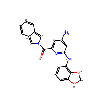 Nc1cc(Nc2cccc3c2OCO3)nc(C(=O)n2cc3ccccc3c2)c1